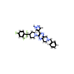 Cn1cc(-c2nc3c(nc2N2CCC(C(F)(F)c4ccc(F)cc4F)CC2)CCN(Cc2ccccc2)C3)cn1